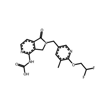 Cc1cc(CN2Cc3c(ccnc3NC(=O)O)C2=O)cnc1OCC(F)F